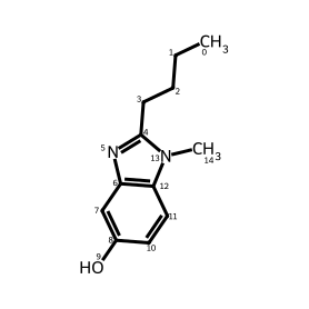 CCCCc1nc2cc(O)ccc2n1C